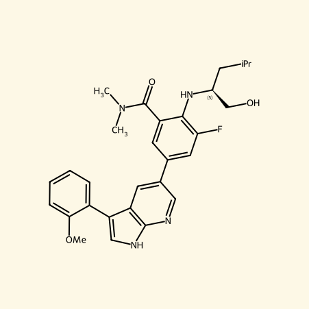 COc1ccccc1-c1c[nH]c2ncc(-c3cc(F)c(N[C@H](CO)CC(C)C)c(C(=O)N(C)C)c3)cc12